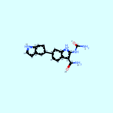 NC(=O)Nc1[nH]c2cc(-c3ccc4[nH]ccc4c3)ccc2c1C(N)=O